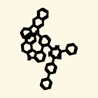 c1ccc(-c2ccc(-c3nc(-c4ccccc4)nc(-c4ccc(-n5c6ccccc6c6cc7ccccc7cc65)cc4-c4cccc5sc6ccc7ccccc7c6c45)n3)cc2)cc1